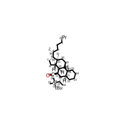 CC(C)CCC[C@@H](C)[C@H]1CC[C@H]2[C@@H]3C(=C=O)[C@@H](C(C)[Si](C)(C)C(C)(C)C)[C@@H]4CCCC[C@]4(C)[C@H]3CC[C@]12C